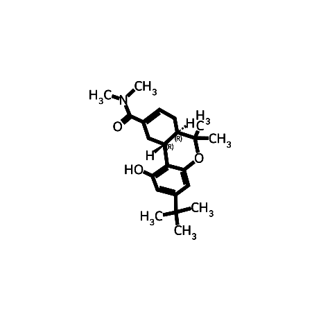 CN(C)C(=O)C1=CC[C@@H]2[C@@H](C1)c1c(O)cc(C(C)(C)C)cc1OC2(C)C